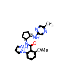 COc1cccc(-n2cccn2)c1C(=O)N[C@H]1CCC[C@@H]1Nc1cnc(C(F)(F)F)cn1